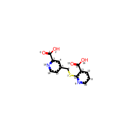 O=C(O)c1cc(CSc2ncccc2C(=O)O)ccn1